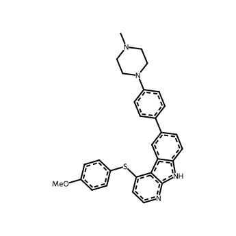 COc1ccc(Sc2ccnc3[nH]c4ccc(-c5ccc(N6CCN(C)CC6)cc5)cc4c23)cc1